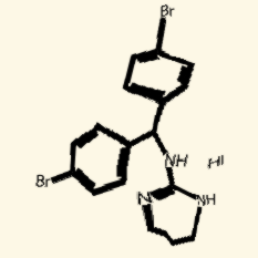 Brc1ccc(C(NC2=NCCCN2)c2ccc(Br)cc2)cc1.I